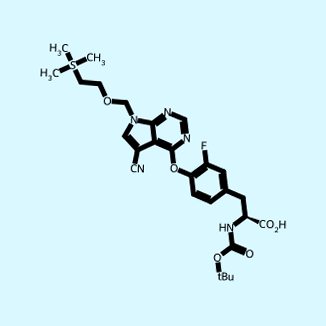 CC(C)(C)OC(=O)N[C@@H](Cc1ccc(Oc2ncnc3c2c(C#N)cn3COCCS(C)(C)C)c(F)c1)C(=O)O